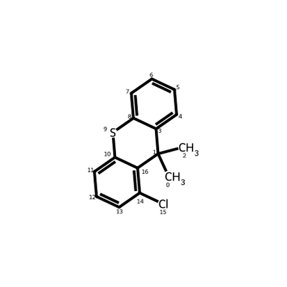 CC1(C)c2ccccc2Sc2cccc(Cl)c21